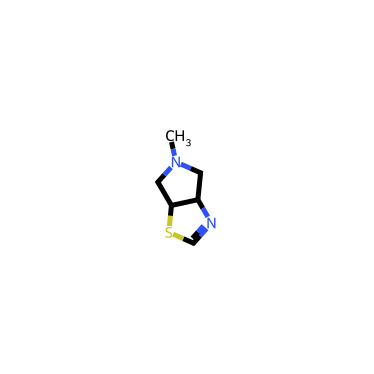 CN1CC2N=CSC2C1